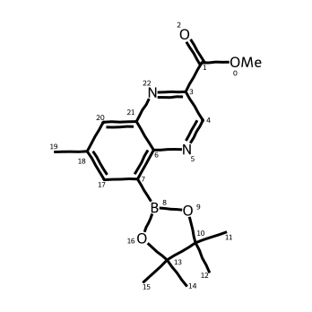 COC(=O)c1cnc2c(B3OC(C)(C)C(C)(C)O3)cc(C)cc2n1